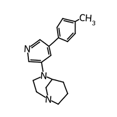 Cc1ccc(-c2cncc(N3CCN4CCCC3C4)c2)cc1